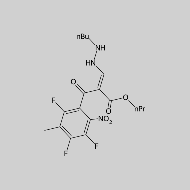 CCCCNN/C=C(/C(=O)OCCC)C(=O)c1c(F)c(C)c(F)c(F)c1[N+](=O)[O-]